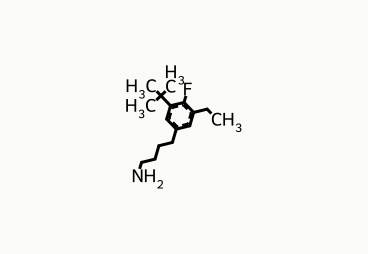 CCc1cc(CCCCN)cc(C(C)(C)C)c1F